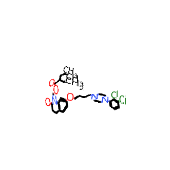 C=CC(CC(C)C)C(=O)OCN1C(=O)CCc2ccc(OCCCCN3CCN(c4cccc(Cl)c4Cl)CC3)cc21